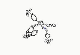 O=C([O-])c1nn(-c2ccc(S(=O)(=O)[O-])cc2)c(O)c1/N=N/c1ccc(S(=O)(=O)[O-])cc1.[Na+].[Na+].[Na+].c1ccc2ncccc2c1